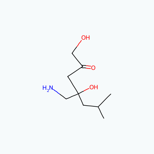 CC(C)CC(O)(CN)CC(=O)CO